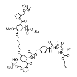 C=CCOC(=O)N[C@H](C(=O)N[C@@H](C)C(=O)Nc1ccc(COC(=O)Nc2cc(OCCCCCOc3cc(NC(=O)OC(C)(C)C)c(C(=O)N4CCC[C@H]4CO[Si](C)(C)C(C)(C)C)cc3OC)c(O)cc2C(=O)N2CCC[C@H]2CO[Si](C)(C)C(C)(C)C)cc1)C(C)C